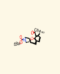 COC(=O)c1c(C)ccc2c1OC1(C=C2)CCN(C(=O)OC(C)(C)C)CC1